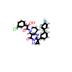 O=C(C(O)c1cccc(Cl)c1)N1CCCc2nc(C3(c4cccc(-c5ccc(F)cc5)c4)CC3)[nH]c(=O)c2C1